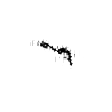 COc1cc(C(=O)N(C(C)C)C(C)C)ccc1OCCCCOc1ccc2c(NC(=O)C(C)NC(=O)C(N)CCC=S)noc2c1